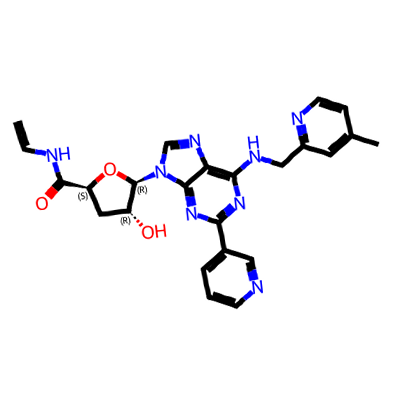 C=CNC(=O)[C@@H]1C[C@@H](O)[C@H](n2cnc3c(NCc4cc(C)ccn4)nc(-c4cccnc4)nc32)O1